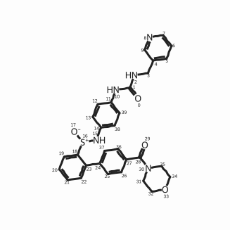 O=C(NCc1cccnc1)Nc1ccc(N[S+]([O-])c2ccccc2-c2ccc(C(=O)N3CCOCC3)cc2)cc1